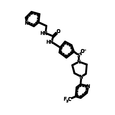 O=C(NCc1cccnc1)Nc1ccc([S+]([O-])N2CCN(c3cc(C(F)(F)F)ccn3)CC2)cc1